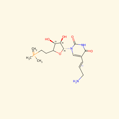 C=P(C)(C)CCC1O[C@@H](n2cc(/C=C/CN)c(=O)[nH]c2=O)[C@H](O)[C@@H]1O